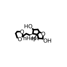 CCCCCCCC1(CC[C@H]2C(O)CC3OC(O)C[C@@H]32)OCCCO1